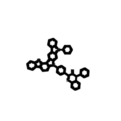 c1ccc(C2NC(c3ccc(-n4c5cc6c(cc5c5c7oc8ccccc8c7ccc54)c4ccccc4n6-c4ccccc4)cc3)=Nc3ccccc32)cc1